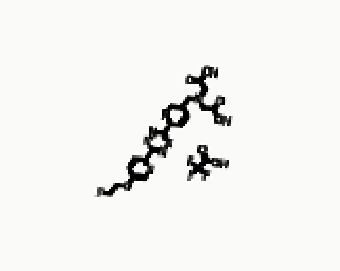 O=C(O)C(F)(F)F.O=C(O)CN(CC(=O)O)Cc1ccc(-c2nnc(-c3ccc(OCCF)cn3)nn2)nc1